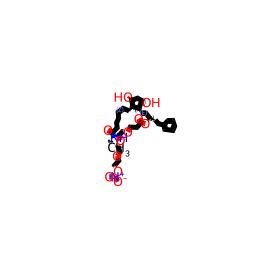 CCNC(=O)CCC/C=C\C[C@@H]1[C@@H](/C=C/[C@H](CCc2ccccc2)OC(=O)CCOCCOCCOCCO[N+](=O)[O-])[C@H](O)C[C@@H]1O